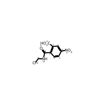 O=C(O)c1cc([N+](=O)[O-])ccc1C(=O)NCCl